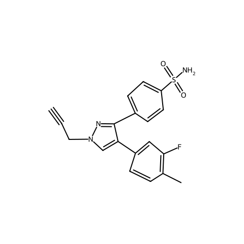 C#CCn1cc(-c2ccc(C)c(F)c2)c(-c2ccc(S(N)(=O)=O)cc2)n1